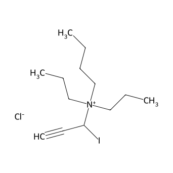 C#CC(I)[N+](CCC)(CCC)CCCC.[Cl-]